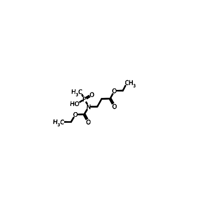 CCOC(=O)CCN(C(=O)OCC)P(C)(=O)O